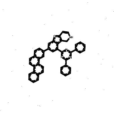 C1=Cc2oc3cc(-c4ccc5ccc6c7ccccc7ccc6c5c4)cc(-c4nc(-c5ccccc5)nc(-c5ccccc5)n4)c3c2CN1